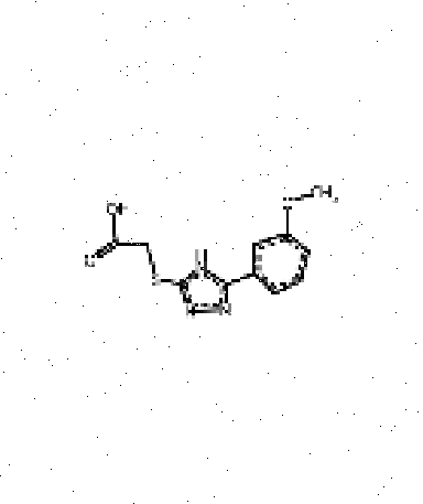 COc1cccc(-c2nnc(SCC(=O)O)[nH]2)c1